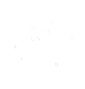 COC(c1ccncc1)c1c(CO)nn(C(C)C)c1Sc1cc(Cl)cc(Cl)c1